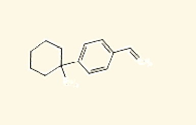 C=Cc1ccc(C2(C)CCCCC2)cc1